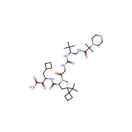 CC(C)(C)[C@@H](CNC(=O)C(C)(C)N1CCOCC1)NC(=O)NCC(=O)N1C[C@]2(C[C@H]1C(=O)NC(CC1CCC1)C(=O)C(N)=O)C(C)(C)C21CCC1